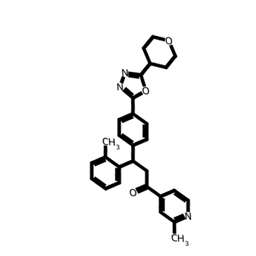 Cc1cc(C(=O)CC(c2ccc(-c3nnc(C4CCOCC4)o3)cc2)c2ccccc2C)ccn1